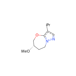 CO[C@H]1CCn2ncc(C(C)C)c2OC1